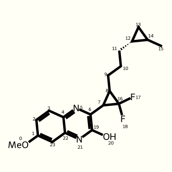 COc1ccc2nc(C3C(CCC[C@@H]4CC4C)C3(F)F)c(O)nc2c1